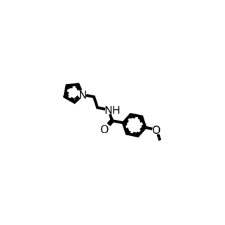 COc1ccc(C(=O)NCCn2cccc2)cc1